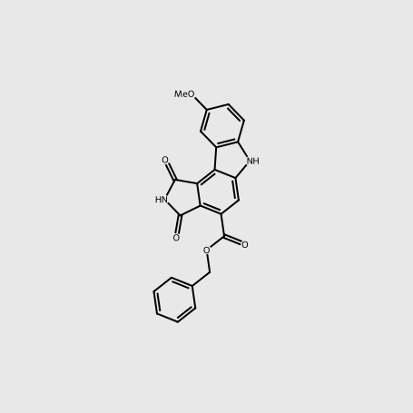 COc1ccc2[nH]c3cc(C(=O)OCc4ccccc4)c4c(c3c2c1)C(=O)NC4=O